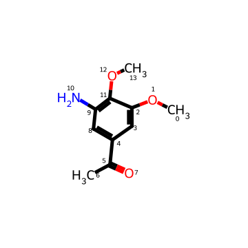 COc1cc(C(C)=O)cc(N)c1OC